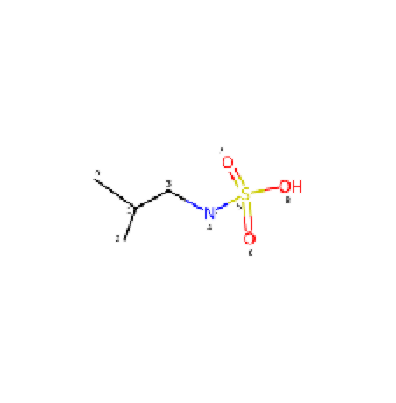 CC(C)C[N]S(=O)(=O)O